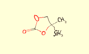 CC1([SiH3])COC(=O)O1